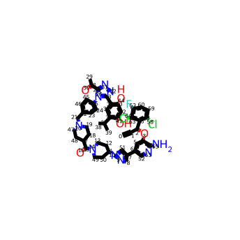 C#CC(Oc1cc(-c2cnn(C3CCN(C(=O)C4CCN(Cc5ccc(-n6c(C(C)=O)nnc6-c6cc(C(C)C)c(O)cc6O)cc5)CC4)CC3)c2)cnc1N)c1c(Cl)ccc(F)c1Cl